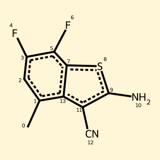 Cc1cc(F)c(F)c2sc(N)c(C#N)c12